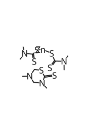 CN(C)C(=S)[S][Zn][S]C(=S)N(C)C.CN1CSC(=S)N(C)C1